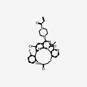 C=CC(=O)N1CCN(c2nc(=O)n3c4nc(c(Cl)cc24)-c2c(F)cccc2NC(=O)CSc2ccnc(C(C)C)c2-3)CC1